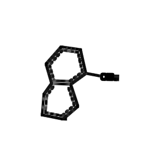 CC(C)COc1cccc2cc[c]cc12